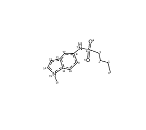 CCCCS(=O)(=O)Nc1ccc2c(ccn2C)c1